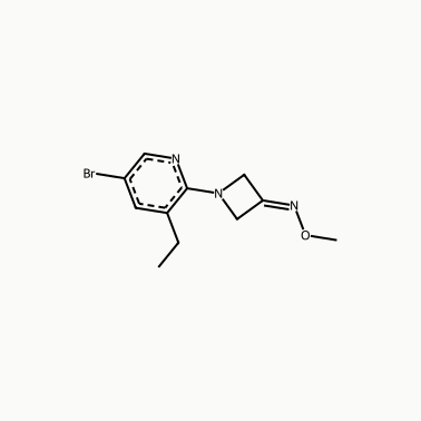 CCc1cc(Br)cnc1N1CC(=NOC)C1